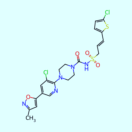 Cc1cc(-c2cnc(N3CCN(C(=O)NS(=O)(=O)CC=Cc4ccc(Cl)s4)CC3)c(Cl)c2)on1